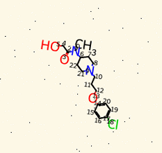 CN(C(=O)CO)C1CCN(CCCOc2ccc(Cl)cc2)CC1